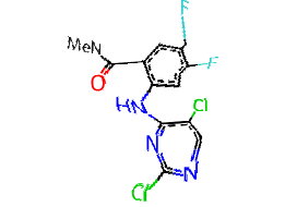 CNC(=O)c1cc(F)c(F)cc1Nc1nc(Cl)ncc1Cl